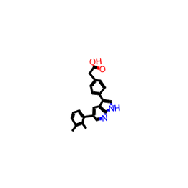 Cc1cccc(-c2cnc3[nH]cc(-c4ccc(CC(=O)O)cc4)c3c2)c1C